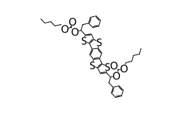 CCCCCOC(=O)OC(Cc1ccccc1)c1cc2sc3cc4c(cc3c2s1)sc1cc(C(Cc2ccccc2)OC(=O)OCCCCC)sc14